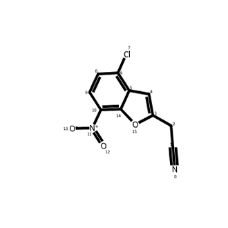 N#CCc1cc2c(Cl)ccc([N+](=O)[O-])c2o1